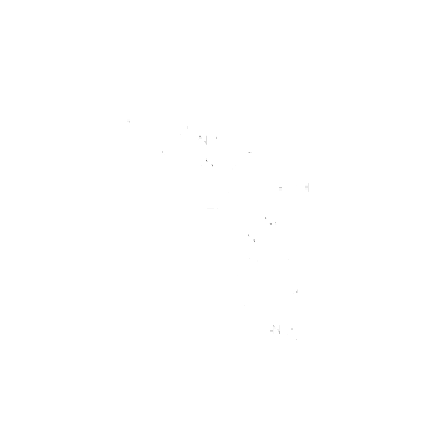 O=[N+]([O-])c1ccc(N=Nc2c(O)ccc(N=Nc3ccccc3)c2O)cc1